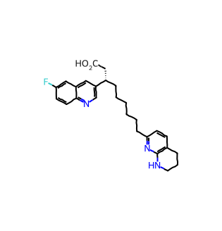 O=C(O)C[C@H](CCCCCCc1ccc2c(n1)NCCC2)c1cnc2ccc(F)cc2c1